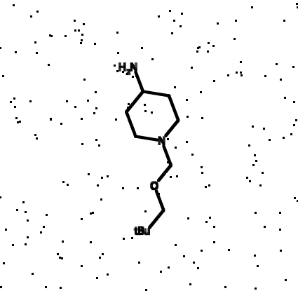 CC(C)(C)COCN1CCC(N)CC1